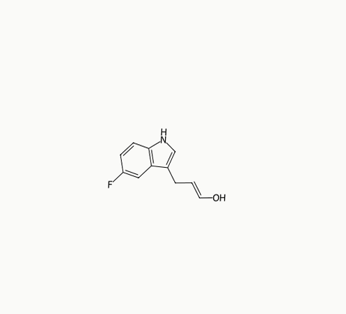 OC=CCc1c[nH]c2ccc(F)cc12